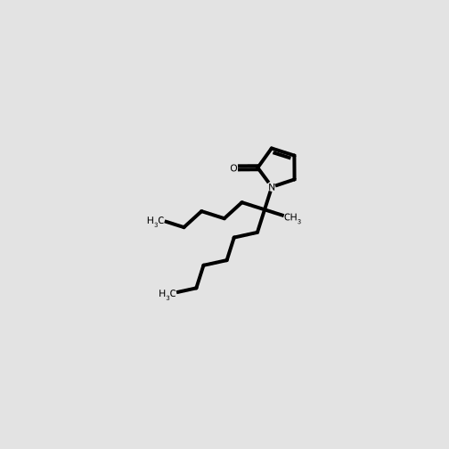 CCCCCCC(C)(CCCCC)N1CC=CC1=O